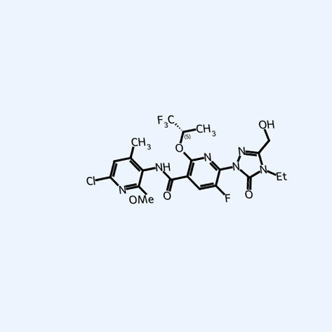 CCn1c(CO)nn(-c2nc(O[C@@H](C)C(F)(F)F)c(C(=O)Nc3c(C)cc(Cl)nc3OC)cc2F)c1=O